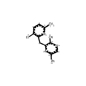 CCc1ccc(C)nc1Cc1nc(C(C)C)cnc1C#N